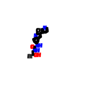 CCC(O)CNC(=O)Nc1ccc2nc(C)c(-c3cccnc3)cc2c1